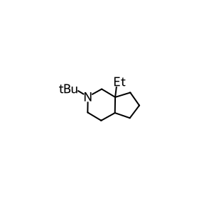 CCC12CCCC1CCN(C(C)(C)C)C2